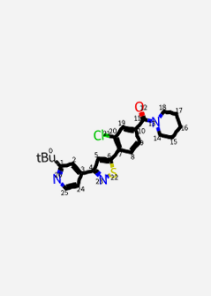 CC(C)(C)c1cc(-c2cc(-c3ccc(C(=O)N4CCCCC4)cc3Cl)sn2)ccn1